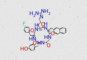 NC(N)=NCCC[C@@H]1NC(=O)[C@H](Cc2ccc(F)cc2)NC(=O)[C@@H](Cc2ccc(O)cc2)NC(=O)CNC(=O)[C@H](Cc2ccc3ccccc3c2)NC1=O